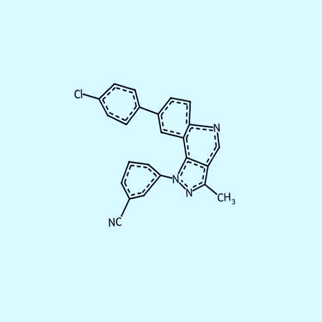 Cc1nn(-c2cccc(C#N)c2)c2c1cnc1ccc(-c3ccc(Cl)cc3)cc12